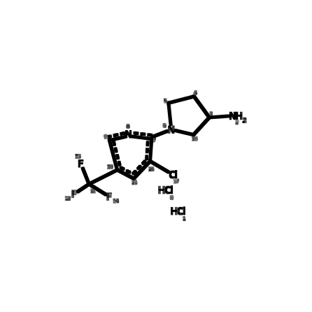 Cl.Cl.NC1CCN(c2ncc(C(F)(F)F)cc2Cl)C1